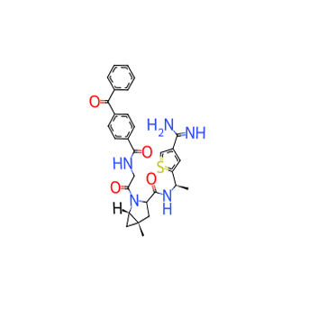 C[C@@H](NC(=O)C1C[C@]2(C)C[C@@H]2N1C(=O)CNC(=O)c1ccc(C(=O)c2ccccc2)cc1)c1cc(C(=N)N)cs1